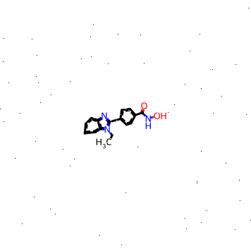 CCn1c(-c2ccc(C(=O)NO)cc2)nc2ccccc21